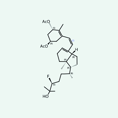 CC(=O)O[C@@H]1CC(/C=C\C2=CCC[C@]3(C)[C@@H]([C@H](C)CC[C@H](F)C(C)(C)O)CC[C@@H]23)=C(C)[C@@H](OC(C)=O)C1